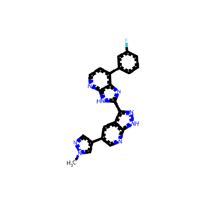 Cn1cc(-c2cnc3[nH]nc(-c4nc5c(-c6cccc(F)c6)ccnc5[nH]4)c3c2)cn1